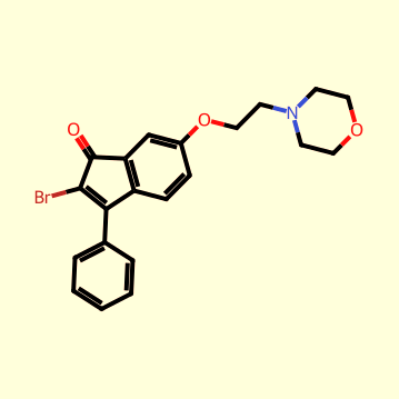 O=C1C(Br)=C(c2ccccc2)c2ccc(OCCN3CCOCC3)cc21